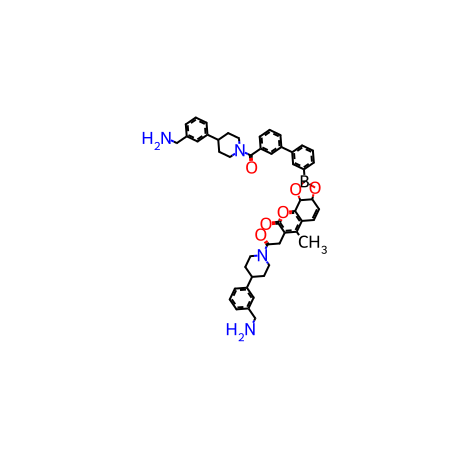 Cc1c2c(oc(=O)c1CC(=O)N1CCC(c3cccc(CN)c3)CC1)C1OB(c3cccc(-c4cccc(C(=O)N5CCC(c6cccc(CN)c6)CC5)c4)c3)OC1C=C2